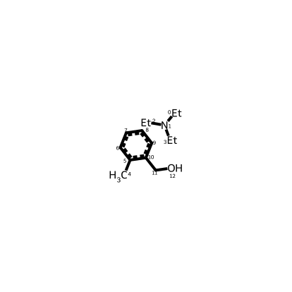 CCN(CC)CC.Cc1ccccc1CO